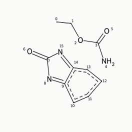 CCOC(N)=O.O=C1N=c2ccccc2=N1